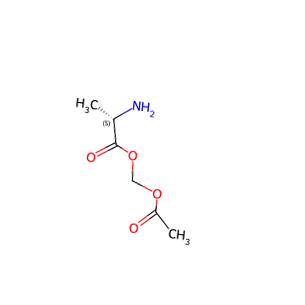 CC(=O)OCOC(=O)[C@H](C)N